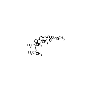 COCCOC(=O)OC1CC[C@@]2(C)C(=CCC3C2CC[C@@]2(C)C3CC[C@@H]2[C@H](C)CCCC(C)C)C1